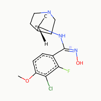 COc1ccc(/C(=N\O)N[C@H]2CN3CCC2CC3)c(F)c1Cl